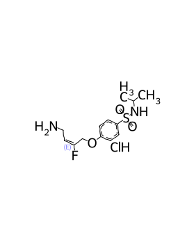 CC(C)NS(=O)(=O)c1ccc(OC/C(F)=C\CN)cc1.Cl